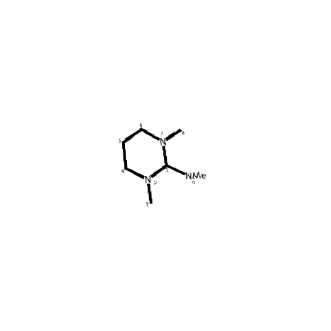 CNC1N(C)CCCN1C